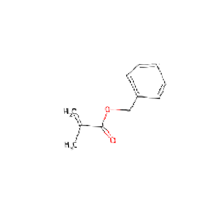 C=C(C)C(=O)OCc1cc[c]cc1